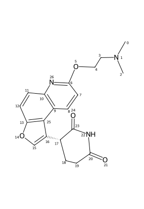 CN(C)CCOc1ccc2c(ccc3occ([C@H]4CCC(=O)NC4=O)c32)n1